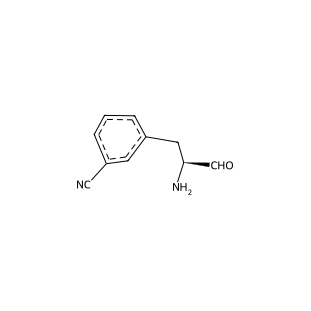 N#Cc1cccc(C[C@H](N)C=O)c1